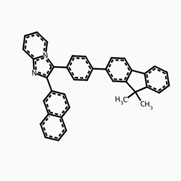 CC1(C)c2ccccc2-c2ccc(-c3ccc(-c4c(-c5ccc6ccccc6c5)nc5ccccn45)cc3)cc21